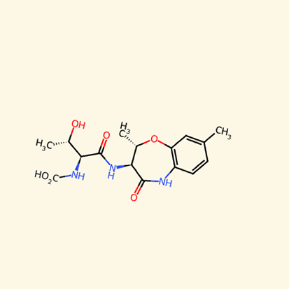 Cc1ccc2c(c1)O[C@@H](C)[C@H](NC(=O)[C@@H](NC(=O)O)[C@H](C)O)C(=O)N2